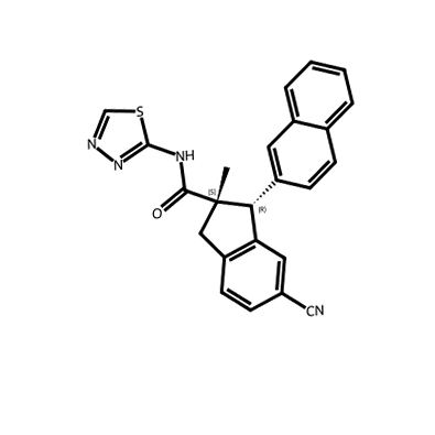 C[C@]1(C(=O)Nc2nncs2)Cc2ccc(C#N)cc2[C@H]1c1ccc2ccccc2c1